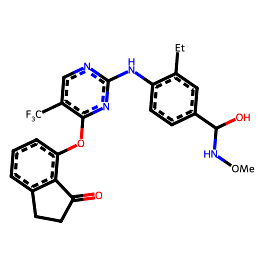 CCc1cc(C(O)NOC)ccc1Nc1ncc(C(F)(F)F)c(Oc2cccc3c2C(=O)CC3)n1